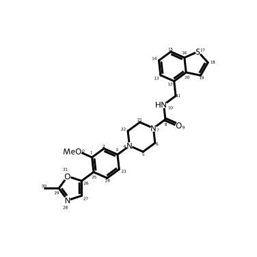 COc1cc(N2CCN(C(=O)NCc3cccc4sccc34)CC2)ccc1-c1cnc(C)o1